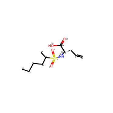 C=CC[C@H](NS(=O)(=O)C(C)CCCC)C(=O)O